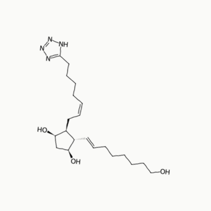 OCCCCCCC=C[C@H]1[C@H](C/C=C\CCCCc2nnn[nH]2)[C@H](O)C[C@@H]1O